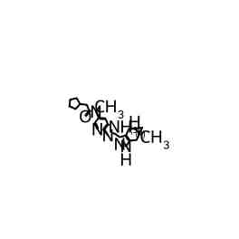 CN(C(=O)CC1CCCC1)c1cnc2nc(-c3n[nH]c4c3C[C@@H]3C[C@]3(C)C4)[nH]c2c1